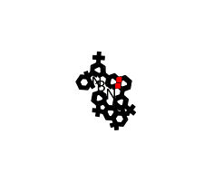 Cc1cc2c3c(c1)N(c1ccc(C(C)(C)C)cc1-c1ccccc1)c1c(ccc4c1-c1cc5c(cc1C4(C)C)C(C)(C)CCC5(C)C)B3N1c3c-2cc(C(C)(C)C)cc3C2(C)CCCCC12C